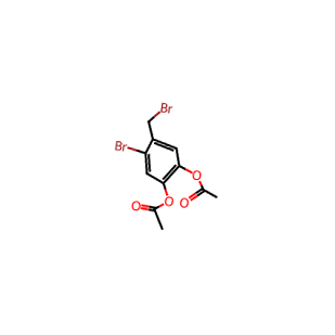 CC(=O)Oc1cc(Br)c(CBr)cc1OC(C)=O